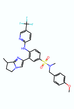 COc1ccc(CN(C)S(=O)(=O)c2ccc(Nc3ccc(C(F)(F)F)cn3)c(-c3cn4c(n3)C(C)CC4)c2)cc1